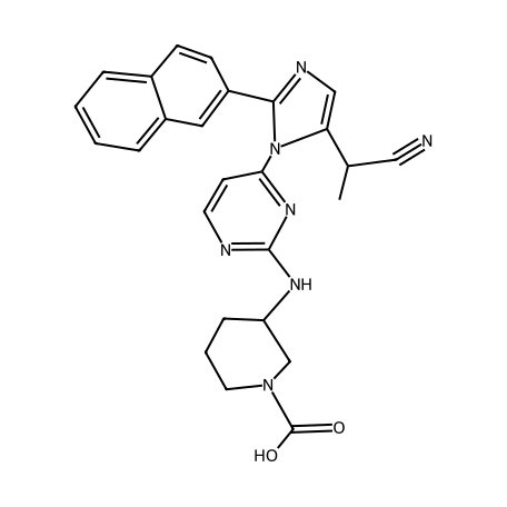 CC(C#N)c1cnc(-c2ccc3ccccc3c2)n1-c1ccnc(NC2CCCN(C(=O)O)C2)n1